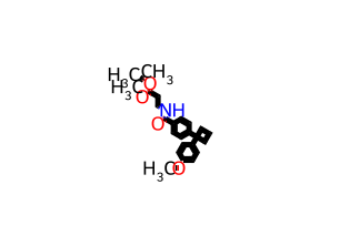 COc1ccc(C2(c3ccc(C(=O)NCCC(=O)OC(C)(C)C)cc3)CCC2)cc1